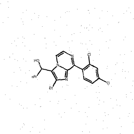 CCCC(O)c1c(CC)nc2c(-c3ccc(Cl)cc3Cl)nccn12